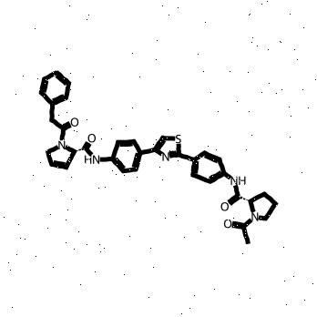 CC(=O)N1CCC[C@H]1C(=O)Nc1ccc(-c2nc(-c3ccc(NC(=O)[C@@H]4C=CCN4C(=O)Cc4ccccc4)cc3)cs2)cc1